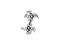 CC1(C)CC(OC(=O)CCC(=O)OC2CC(C)(C)N(CCO)C(C)(C)C2)CC(C)(C)N1CCO